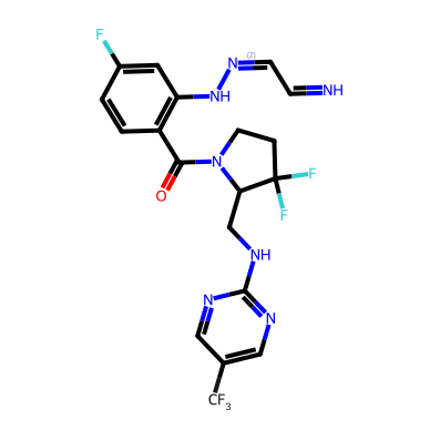 N=C/C=N\Nc1cc(F)ccc1C(=O)N1CCC(F)(F)C1CNc1ncc(C(F)(F)F)cn1